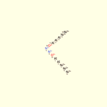 [Al].[Al].[Al].[Al].[Al].[N-3].[N-3].[Ni+2].[Ni+2].[Ni+2].[Ni+2].[Ni+2].[O-2].[O-2]